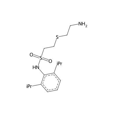 CC(C)c1cccc(C(C)C)c1NS(=O)(=O)CCSCCN